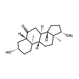 CC(=O)O[C@H]1CC[C@H]2[C@@H]3CC(=O)[C@H]4C[C@@H](O)CC[C@]4(C)[C@H]3CC[C@]12C